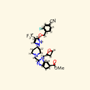 COC(=O)c1ccc2nc(CN3CCC(n4cc(C(F)(F)F)c(OCc5ccc(C#N)cc5F)n4)CC3)n(C[C@@H]3CCO3)c2c1